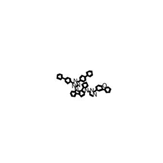 c1ccc(-c2ccc(-c3nc(-c4ccc(-c5ccccc5)cc4)nc(-n4c5ccccc5c5ccc6c(c7ccccc7n6-c6ccnc(-c7ccc8oc9ccccc9c8c7)n6)c54)n3)cc2)cc1